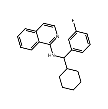 Fc1cccc(C(Nc2nccc3ccccc23)C2CCCCC2)c1